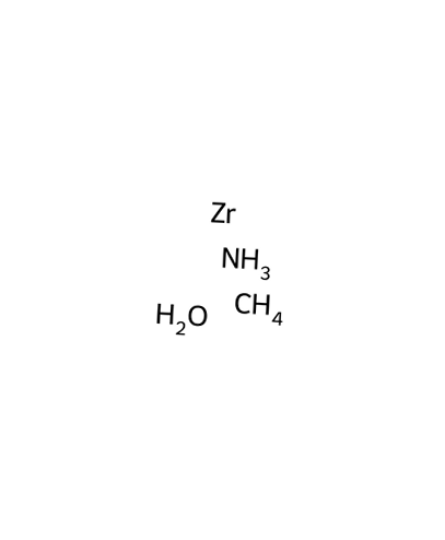 C.N.O.[Zr]